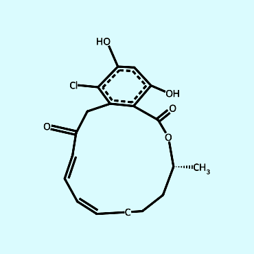 C[C@@H]1CCC/C=C\C=C\C(=O)Cc2c(Cl)c(O)cc(O)c2C(=O)O1